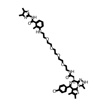 Cc1sc2c(c1C)C(c1ccc(Cl)cc1)=N[C@@H](CC(=O)NCCOCCOCCOCCOCCNc1cccc(C(=O)NC3=NC(C)C(C)S3)c1C)C1=NNC(C)N12